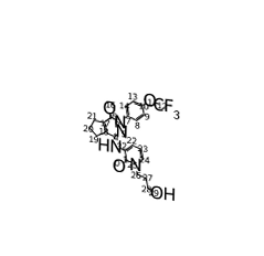 O=c1c(Nc2nn(-c3ccc(OC(F)(F)F)cc3)c(=O)c3c2CCC3)cccn1CCCO